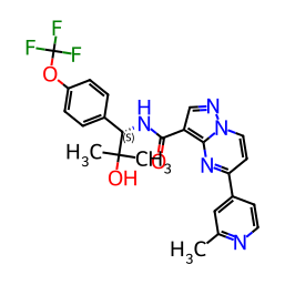 Cc1cc(-c2ccn3ncc(C(=O)N[C@@H](c4ccc(OC(F)(F)F)cc4)C(C)(C)O)c3n2)ccn1